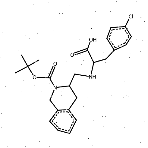 CC(C)(C)OC(=O)N1Cc2ccccc2CC1CNC(Cc1ccc(Cl)cc1)C(=O)O